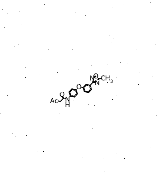 CC(=O)CC(=O)Nc1ccc(Oc2cccc(-c3noc(C)n3)c2)cc1